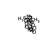 Cc1ccnc(C(C)C)c1NC(=O)NC(=O)c1c(Cl)ncc(Cl)c1Cl